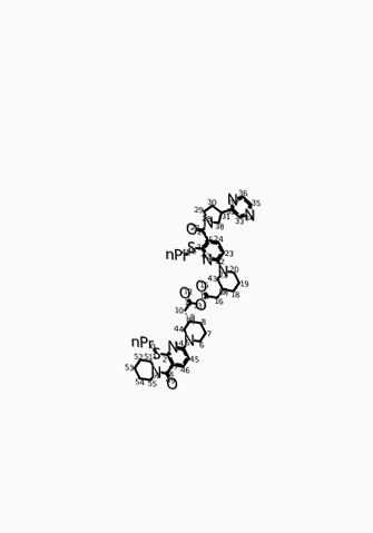 CCCSc1nc(N2CCC[C@@H](CC(=O)OC(=O)C[C@@H]3CCCN(c4ccc(C(=O)N5CCC(c6cnccn6)C5)c(SCCC)n4)C3)C2)ccc1C(=O)N1CCCCC1